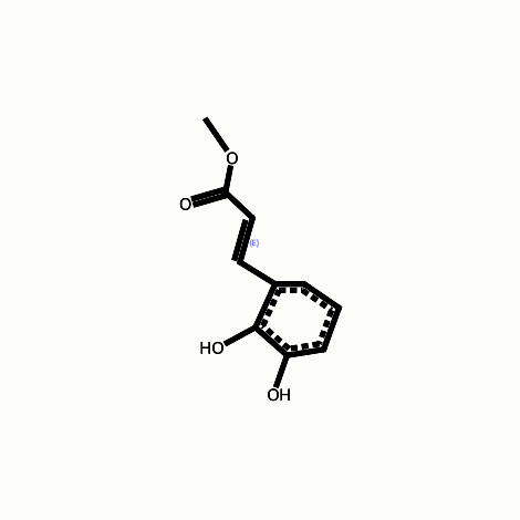 COC(=O)/C=C/c1cccc(O)c1O